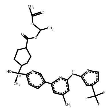 CC(=O)OC(C)OC(=O)C1CCC([C@@](C)(O)c2ccc(-c3cc(C)cc(Nc4cc(C(F)(F)F)ccn4)n3)cn2)CC1